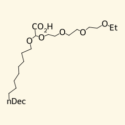 CCCCCCCCCCCCCCCCCCOC(OCCOCCOCCOCC)C(=O)O